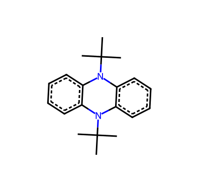 CC(C)(C)N1c2ccccc2N(C(C)(C)C)c2ccccc21